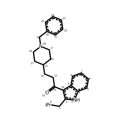 CC(C)Cc1[nH]c2ccccc2c1C(=O)CCC1CCN(Cc2ccccc2)CC1